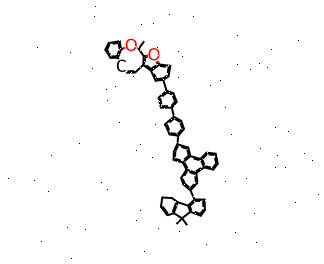 CC1Oc2ccccc2C/C=C\c2c1oc1ccc(-c3ccc(-c4ccc(-c5ccc6c7ccc(-c8cccc9c8C8=C(C=CCC8)C9(C)C)cc7c7ccccc7c6c5)cc4)cc3)cc21